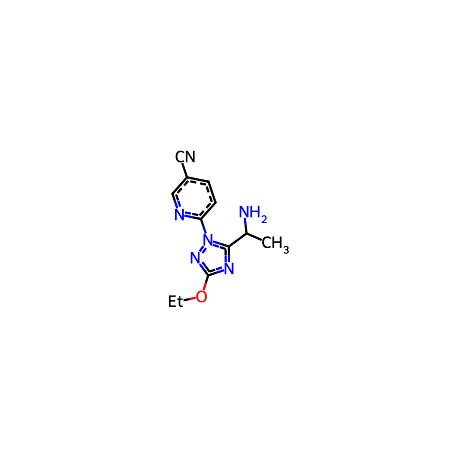 CCOc1nc(C(C)N)n(-c2ccc(C#N)cn2)n1